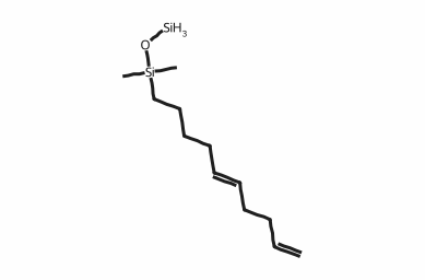 C=CCCC=CCCCC[Si](C)(C)O[SiH3]